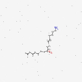 CCCCCCCCC1OC1CCCCCCCCN